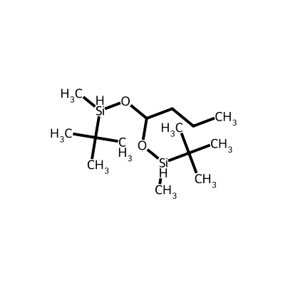 CCCC(O[SiH](C)C(C)(C)C)O[SiH](C)C(C)(C)C